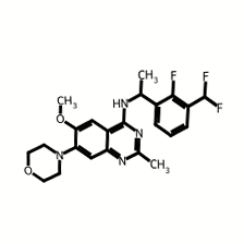 COc1cc2c(NC(C)c3cccc(C(F)F)c3F)nc(C)nc2cc1N1CCOCC1